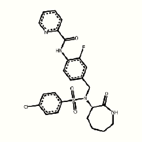 O=C(Nc1ccc(CN([C@@H]2CCCCNC2=O)S(=O)(=O)c2ccc(Cl)cc2)cc1F)c1ccccn1